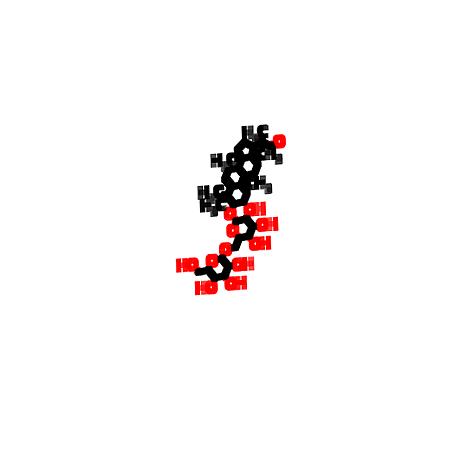 CC(C=O)C1CCC2(C)C3CC=C4C(CCC(OC5OC(COC6OC(CO)C(O)C(O)C6O)C(O)C(O)C5O)C4(C)C)C3(C)CCC12C